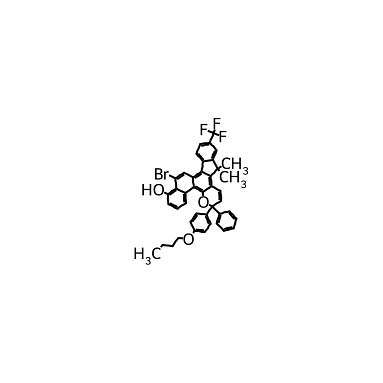 CCCCOc1ccc(C2(c3ccccc3)C=Cc3c4c(c5cc(Br)c6c(O)cccc6c5c3O2)-c2ccc(C(F)(F)F)cc2C4(C)C)cc1